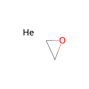 C1CO1.[He]